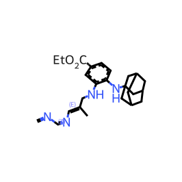 C=N/C=N\C=C(/C)CNc1cc(C(=O)OCC)ccc1NC12CC3CC(CC(C3)C1)C2